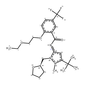 CCOCCOc1ccc(C(F)(F)F)cc1C(=O)/N=c1\cc(C(C)(C)C)n(C)n1C[C@H]1CCCO1